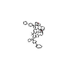 CC1(C)c2cc(N(c3ccccc3)c3ccc(-c4ccccc4)cc3)ccc2-c2c1cc(N(c1ccccc1)c1ccc(-c3ccccc3)cc1)c1c2C2(c3ccccc3-c3cccnc32)c2c-1c1ccccc1c1ccccc21